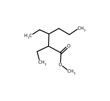 CCCC(CC)C(CC)C(=O)OC